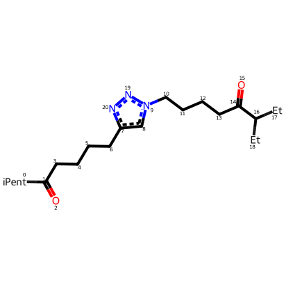 CCCC(C)C(=O)CCCCc1cn(CCCCC(=O)C(CC)CC)nn1